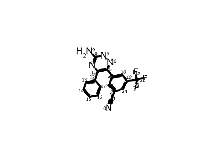 N#Cc1cc(-c2nnc(N)nc2-c2ccccc2)cc(C(F)(F)F)c1